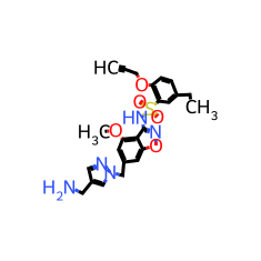 C#CCOc1ccc(CC)cc1S(=O)(=O)Nc1noc2cc(Cn3cc(CN)cn3)cc(OC)c12